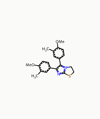 COc1ccc(-c2nc3n(c2-c2ccc(OC)c(C)c2)CCS3)cc1C